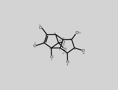 ClC1=C(Cl)C2(Cl)C3C(Cl)C(Cl)C(Cl)C3C1C2(Cl)Cl